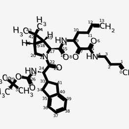 C=CCCNC(=O)C(=O)C(CCC=C)NC(=O)[C@@H]1[C@@H]2[C@H](CN1C(=O)[C@@H](NC(=O)OC(C)(C)C)C1Cc3ccccc3C1)C2(C)C